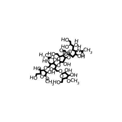 COC1OC(CO)C(O)C(OC2OC(COC3OC(CO)C(OC)C(O)C3O)C(OC3OC(CO)C(O)C(OC4(OC=O)CC(O)C(NC(C)=O)C(C(O)[C@@H](O)CO)O4)C3O)C(O)C2NC(C)=O)C1O